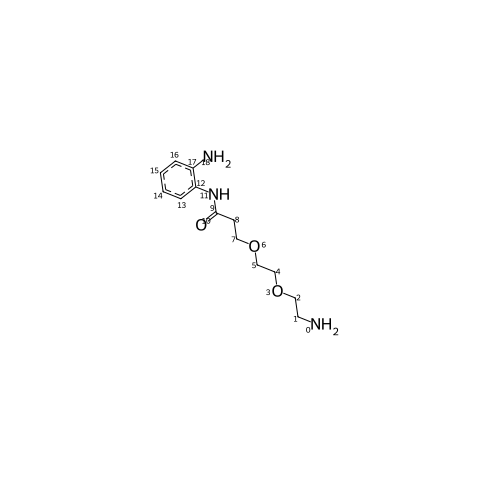 NCCOCCOCCC(=O)Nc1ccccc1N